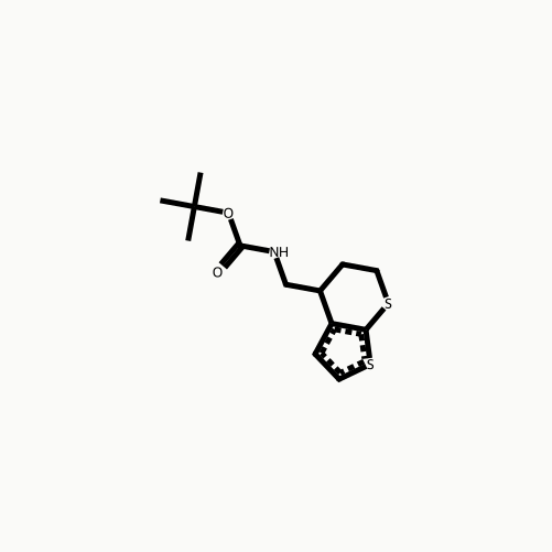 CC(C)(C)OC(=O)NCC1CCSc2sccc21